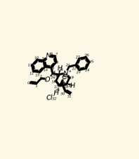 C=CCO[C@@H](c1ccnc2ccccc12)[C@H]1C[C@@H]2CC[N+]1(Cc1ccccc1)C[C@@H]2C=C.[Cl-]